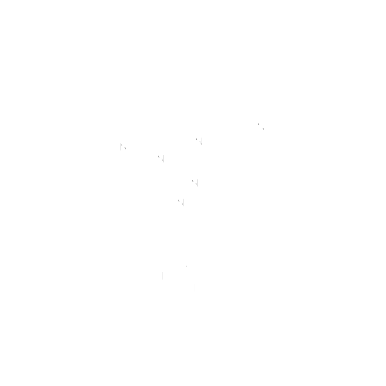 OCCN1CCCC(Nc2nnc(-c3ccc(OC(F)F)cc3OC(F)(F)F)c3cncn23)C1